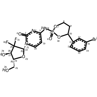 O=c1nc(NP2(=O)OCCC(c3cccc(Br)c3)O2)ccn1[C@@H]1O[C@H](CO)[C@@H](O)C1(F)F